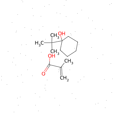 C=C(C)C(=O)O.CC(C)(C)C1(O)CCCCC1